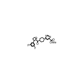 COC(=O)c1cc(N2CCC(C(=O)N3OCCC3c3cc(F)cc(F)c3)CC2)ncn1